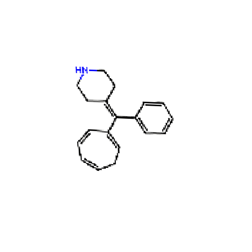 C1=CCC=C(C(=C2CCNCC2)c2ccccc2)C=C1